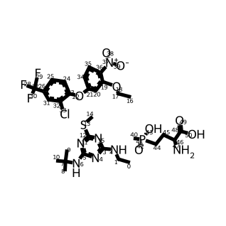 CCNc1nc(NC(C)(C)C)nc(SC)n1.CCOc1cc(Oc2ccc(C(F)(F)F)cc2Cl)ccc1[N+](=O)[O-].CP(=O)(O)CCC(N)C(=O)O